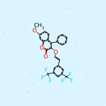 COc1ccc2c(-c3ccccc3)c(O/C=C/c3cc(C(F)(F)F)cc(C(F)(F)F)c3)c(=O)oc2c1